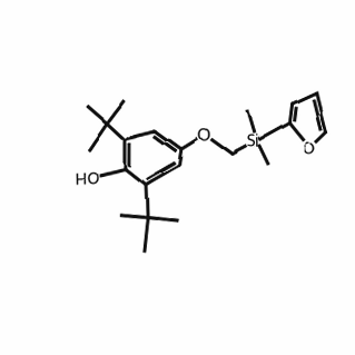 CC(C)(C)c1cc(OC[Si](C)(C)c2ccco2)cc(C(C)(C)C)c1O